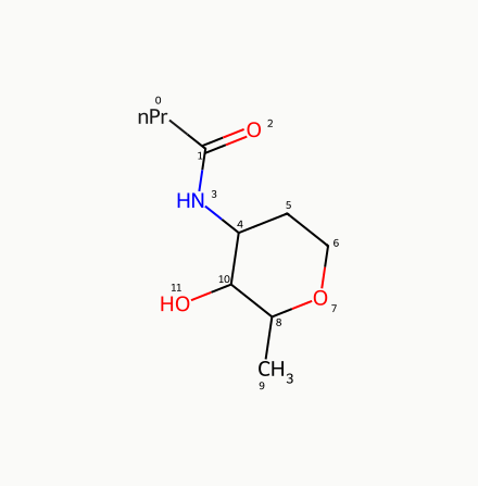 CCCC(=O)NC1CCOC(C)C1O